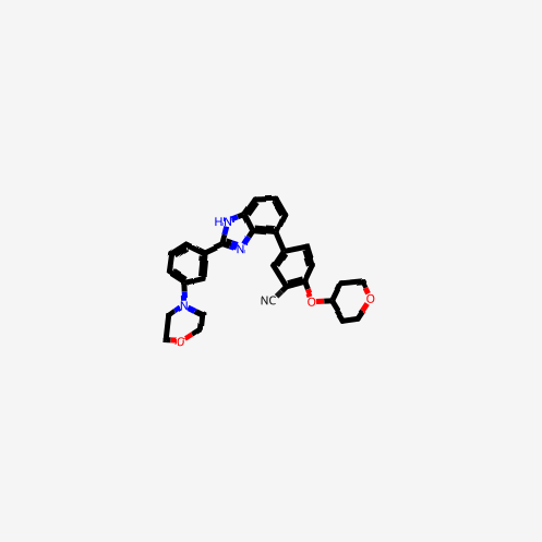 N#Cc1cc(-c2cccc3[nH]c(-c4cccc(N5CCOCC5)c4)nc23)ccc1OC1CCOCC1